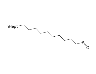 CCCCCCCCCCCCCCCCCP=O